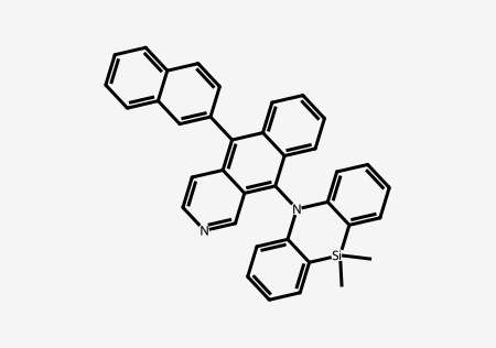 C[Si]1(C)c2ccccc2N(c2c3ccccc3c(-c3ccc4ccccc4c3)c3ccncc23)c2ccccc21